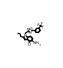 CCCc1cc2c(Cl)c(N)ccc2n1Cc1noc(-c2cccc(C(F)(F)F)c2)n1